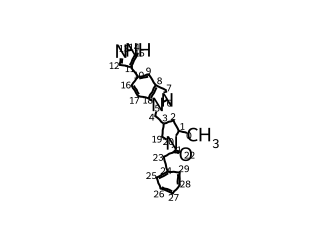 CC1CC(Cn2ncc3cc(-c4cn[nH]c4)ccc32)CN1C(=O)Cc1ccccc1